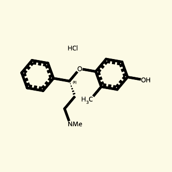 CNCC[C@@H](Oc1ccc(O)cc1C)c1ccccc1.Cl